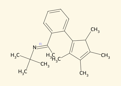 CC1=C(C)C(C)C(c2ccccc2/C(C)=N/C(C)(C)C)=C1C